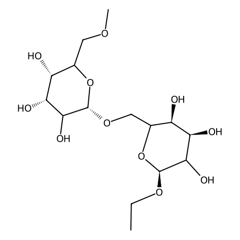 CCO[C@H]1OC(CO[C@H]2OC(COC)[C@@H](O)[C@@H](O)C2O)[C@@H](O)[C@@H](O)C1O